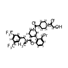 CC(C)c1ccccc1[C@@H]1CN(C(=O)C2CCN(C(=O)CO)CC2)CC[C@H]1C(=O)N(C)Cc1cc(C(F)(F)F)cc(C(F)(F)F)c1